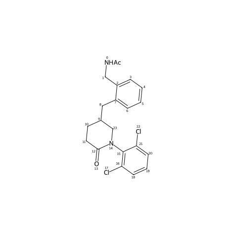 CC(=O)NCc1ccccc1CC1CCC(=O)N(c2c(Cl)cccc2Cl)C1